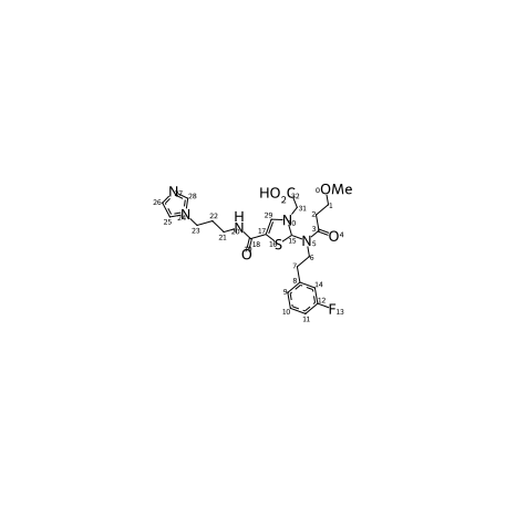 COCCC(=O)N(CCc1cccc(F)c1)C1SC(C(=O)NCCCn2ccnc2)=CN1CC(=O)O